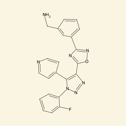 NCc1cccc(-c2noc(-c3nnn(-c4ccccc4F)c3-c3ccncc3)n2)c1